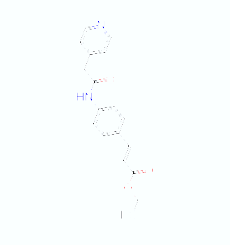 CCOC(=O)C=Cc1ccc(NC(=O)Cc2ccncc2)cc1